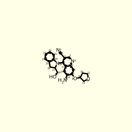 N#Cc1cnc2cc(OC3CCOC3)c(N)cc2c1N1c2ccccc2CC1CO